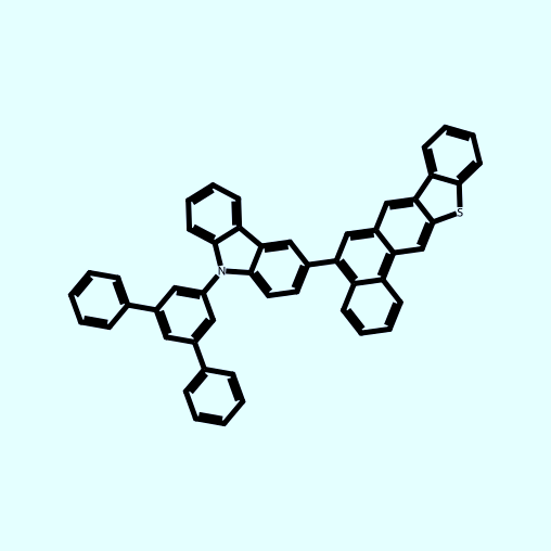 c1ccc(-c2cc(-c3ccccc3)cc(-n3c4ccccc4c4cc(-c5cc6cc7c(cc6c6ccccc56)sc5ccccc57)ccc43)c2)cc1